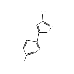 CNc1cc(-c2ccc(F)cc2)[nH]n1